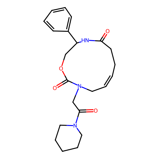 O=C1CCC=CCN(CC(=O)N2CCCCC2)C(=O)OCC(c2ccccc2)N1